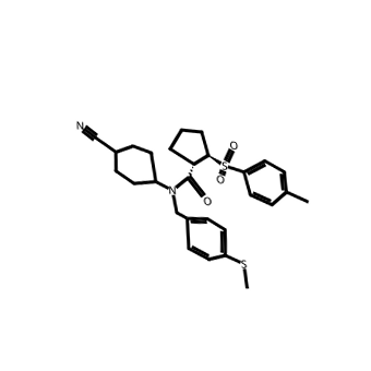 CSc1ccc(CN(C(=O)[C@@H]2CCC[C@H]2S(=O)(=O)c2ccc(C)cc2)C2CCC(C#N)CC2)cc1